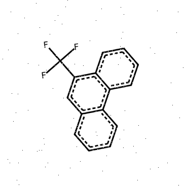 FC(F)(F)c1cc2ccccc2c2ccccc12